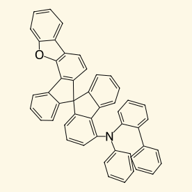 c1ccc(-c2ccccc2N(c2ccccc2)c2cccc3c2-c2ccccc2C32c3ccccc3-c3c2ccc2c3oc3ccccc32)cc1